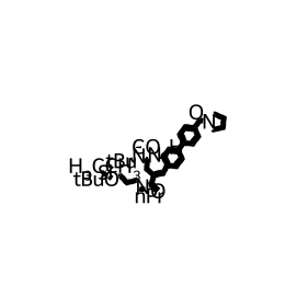 CCCN(CCCO[Si](C)(C)C(C)(C)C)C(=O)C1=Cc2ccc(-c3ccc(C(=O)N4CCCC4)cc3)cc2N=C(N(C(=O)O)C(C)(C)C)C1